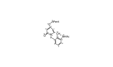 CCCCCOc1ccn(Cc2cccc(NC(C)=O)c2C)c(=O)c1